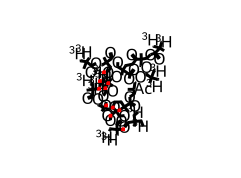 [3H]CC(C)(C[3H])C(=O)OCC(C)(COC(=O)C(C)(C[3H])C[3H])C(=O)CCC(C)(COC(=O)C(C)(COC(=O)C(C)(C[3H])C[3H])COC(=O)C(C)(C[3H])C[3H])C(=O)OCC(C)(COC(=O)C(C)(CCC(=O)C(C)(COC(=O)C(C)(C[3H])C[3H])COC(=O)C(C)(C[3H])C[3H])COC(=O)C(C)(COC(=O)C(C)(C[3H])C[3H])COC(=O)C(C)(C[3H])C[3H])C(C)=O